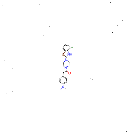 CN(C)c1ccc(CC(=O)N2CCN(C3Nc4c(F)cccc4S3)CC2)cc1